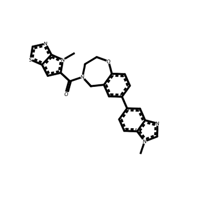 Cn1cnc2cc(-c3ccc4c(c3)CN(C(=O)c3cc5scnc5n3C)CCO4)ccc21